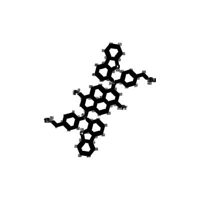 CC(C)c1cc(N(c2ccc(CC(C)(C)C)cc2)c2cccc3c2oc2ccccc23)c2ccc3c(C(C)C)cc(N(c4ccc(CC(C)(C)C)cc4)c4cccc5c4oc4ccccc45)c4ccc1c2c34